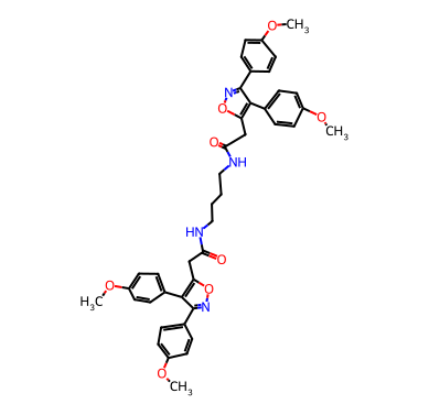 COc1ccc(-c2noc(CC(=O)NCCCCNC(=O)Cc3onc(-c4ccc(OC)cc4)c3-c3ccc(OC)cc3)c2-c2ccc(OC)cc2)cc1